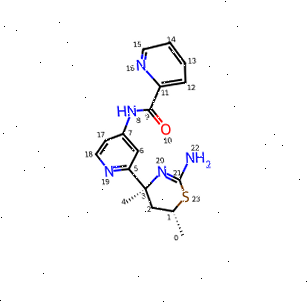 C[C@@H]1C[C@@](C)(c2cc(NC(=O)c3ccccn3)ccn2)N=C(N)S1